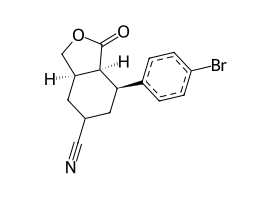 N#CC1C[C@H]2COC(=O)[C@H]2[C@@H](c2ccc(Br)cc2)C1